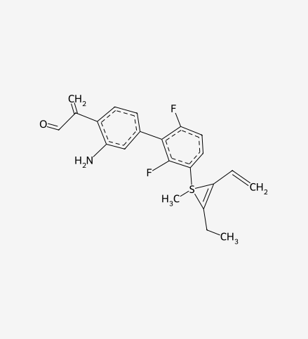 C=CC1=C(CC)S1(C)c1ccc(F)c(-c2ccc(C(=C)C=O)c(N)c2)c1F